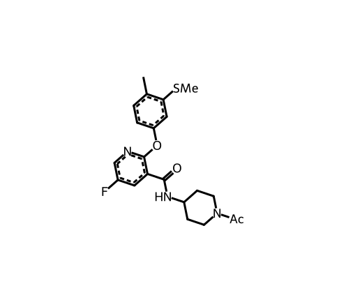 CSc1cc(Oc2ncc(F)cc2C(=O)NC2CCN(C(C)=O)CC2)ccc1C